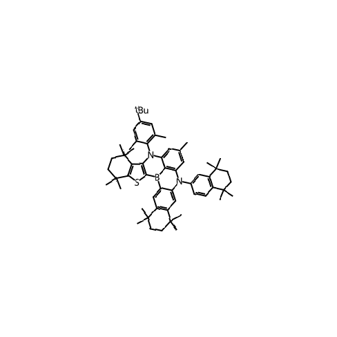 Cc1cc2c3c(c1)N(c1c(C)cc(C(C)(C)C)cc1C)c1c(sc4c1C(C)(C)CCC4(C)C)B3c1cc3c(cc1N2c1ccc2c(c1)C(C)(C)CCC2(C)C)C(C)(C)CCC3(C)C